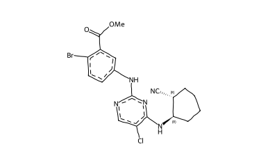 COC(=O)c1cc(Nc2ncc(Cl)c(N[C@@H]3CCCC[C@H]3C#N)n2)ccc1Br